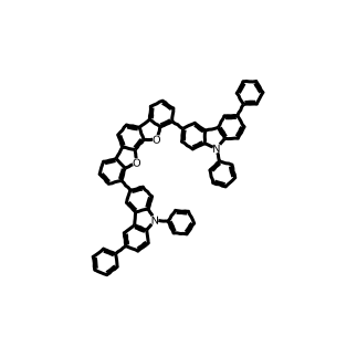 c1ccc(-c2ccc3c(c2)c2cc(-c4cccc5c4oc4c5ccc5c6cccc(-c7ccc8c(c7)c7cc(-c9ccccc9)ccc7n8-c7ccccc7)c6oc54)ccc2n3-c2ccccc2)cc1